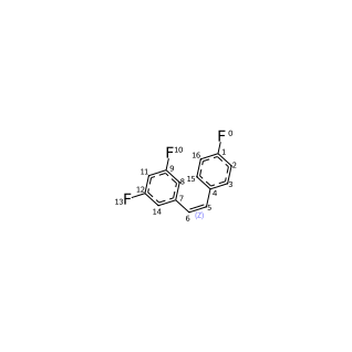 Fc1ccc(/C=C\c2cc(F)cc(F)c2)cc1